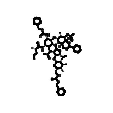 CCC[C@H](C)C(=O)N[C@@H]1C[C@H](NC(=O)OCc2ccccc2)[C@@H](O[C@H]2O[C@@H]3COC(c4ccccc4)O[C@H]3[C@H](OC(C)=O)[C@H]2C)[C@H](O[C@@H]2O[C@H](CC)[C@@H](O[C@H]3O[C@@H](CNC(=O)OCc4ccccc4)[C@@H](C)[C@H](C)[C@H]3C)[C@H]2OC(C)=O)[C@H]1C